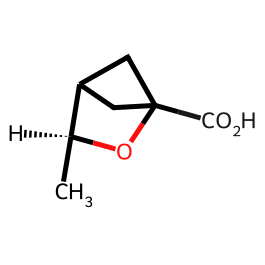 C[C@@H]1OC2(C(=O)O)CC1C2